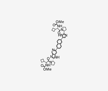 COC(=O)N[C@H](C(=O)N1CCC[C@H]1c1ncc(-c2ccc3cc(-c4cc5[nH]c([C@@H]6CCCN6C(=O)[C@@H](NC(=O)OC)C6CCC6)nc5cn4)ccc3c2)[nH]1)C1CCC1